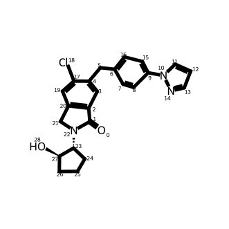 O=C1c2cc(Cc3ccc(-n4cccn4)cc3)c(Cl)cc2CN1[C@@H]1CCC[C@H]1O